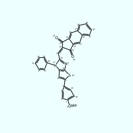 COc1ccc(-c2cc3c(nc(C=C4C(=O)c5cc6ccccc6cc5C4=O)n3-c3ccccc3)s2)cc1